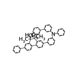 CC1(C)c2cc(-c3ccccc3)ccc2-c2ccc(-c3cccc(N(c4ccccc4)c4cccc(-c5ccccc5)c4)c3)cc2C1(C)C